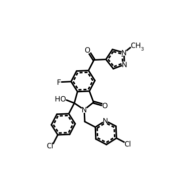 Cn1cc(C(=O)c2cc(F)c3c(c2)C(=O)N(Cc2ccc(Cl)cn2)C3(O)c2ccc(Cl)cc2)cn1